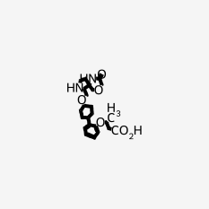 CC(CC(=O)O)Oc1ccccc1C1CCC(OCC2NCCC23COCC(=O)N3)CC1